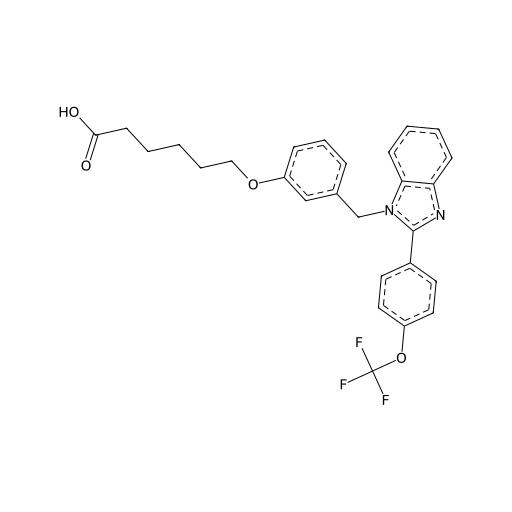 O=C(O)CCCCCOc1cccc(Cn2c(-c3ccc(OC(F)(F)F)cc3)nc3ccccc32)c1